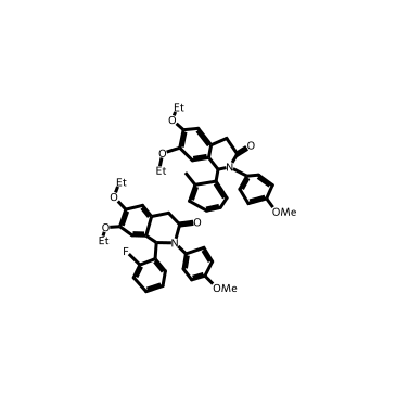 CCOc1cc2c(cc1OCC)C(c1ccccc1C)N(c1ccc(OC)cc1)C(=O)C2.CCOc1cc2c(cc1OCC)C(c1ccccc1F)N(c1ccc(OC)cc1)C(=O)C2